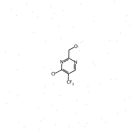 [O]Cc1ncc(C(F)(F)F)c(Cl)n1